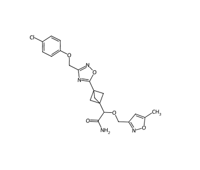 Cc1cc(COC(C(N)=O)C23CC(c4nc(COc5ccc(Cl)cc5)no4)(C2)C3)no1